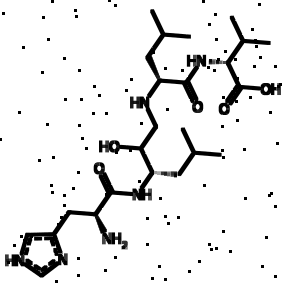 CC(C)C[C@H](NCC(O)[C@H](CC(C)C)NC(=O)[C@@H](N)Cc1c[nH]cn1)C(=O)N[C@@H](C(=O)O)C(C)C